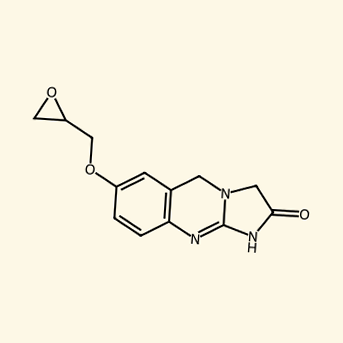 O=C1CN2Cc3cc(OCC4CO4)ccc3N=C2N1